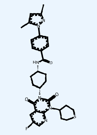 Cc1cc(C)n(-c2ccc(C(=O)N[C@H]3CC[C@@H](n4c(=O)c5cc(F)cnc5n(C5CCSCC5)c4=O)CC3)cc2)n1